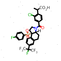 CC(C(=O)O)c1ccc(C(=O)N2CC[C@@]3(S(=O)(=O)c4ccc(F)cc4)c4ccc(C(F)(C(F)(F)F)C(F)(F)F)cc4CC[C@@H]23)cc1Cl